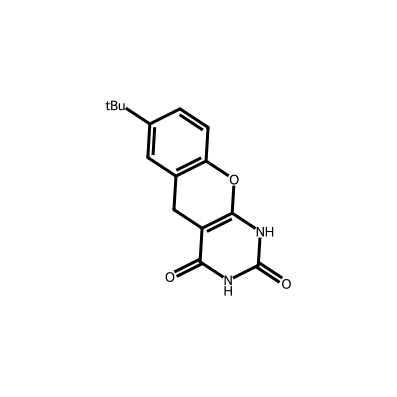 CC(C)(C)c1ccc2c(c1)Cc1c([nH]c(=O)[nH]c1=O)O2